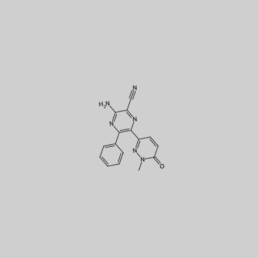 Cn1nc(-c2nc(C#N)c(N)nc2-c2ccccc2)ccc1=O